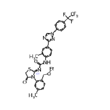 CCOCc1ccc(C)cc1N1C(=O)CS/C1=N\C(=O)Nc1ccc(-c2ncn(-c3ccc(C(F)(F)C(F)(F)F)cc3)n2)cc1C